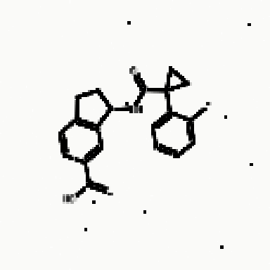 O=C(O)c1ccc2c(c1)[C@H](NC(=O)C1(c3ccccc3F)CC1)CC2